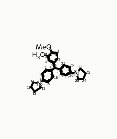 COc1ccc(C(c2ccc(N3CCCC3)cc2)c2ccc(N3CCCC3)cc2)cc1C